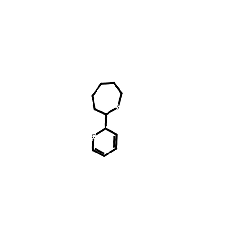 C1=COC(C2CCCCCS2)C=C1